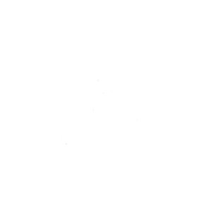 CCOC(=O)Cc1cc(OCc2ccccc2)c2occc2c1